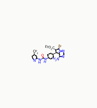 CCOC(=O)c1c(-c2ccc(NC(=O)Nc3cc(C(F)(F)F)ccn3)cc2)c2c(N)ncnn2c1Br